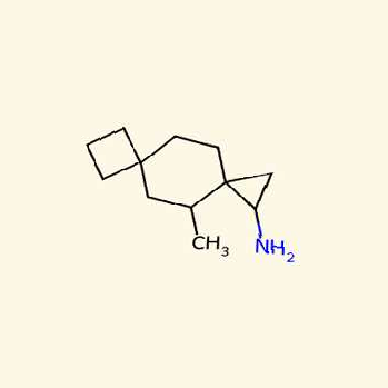 CC1CC2(CCC2)CCC12CC2N